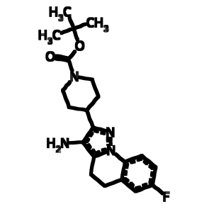 CC(C)(C)OC(=O)N1CCC(c2nn3c(c2N)CCc2cc(F)ccc2-3)CC1